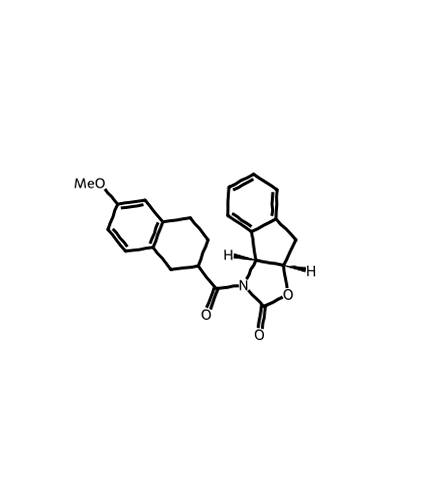 COc1ccc2c(c1)CCC(C(=O)N1C(=O)O[C@H]3Cc4ccccc4[C@H]31)C2